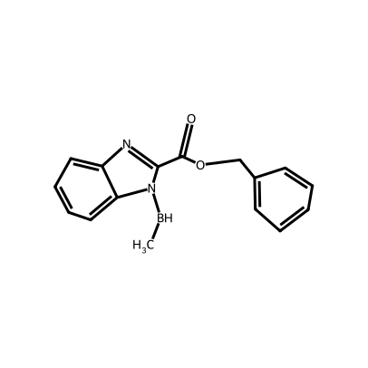 CBn1c(C(=O)OCc2ccccc2)nc2ccccc21